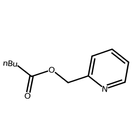 [CH2]CCCC(=O)OCc1ccccn1